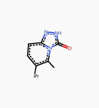 Cc1c(C(C)C)ccc2n[nH]c(=O)n12